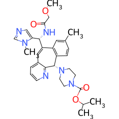 COCC(=O)N[C@H](C1=Cc2cccnc2[C@@H](N2CCN(C(=O)OC(C)C)CC2)c2ccc(C)cc21)c1cncn1C